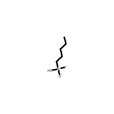 CCCCC[N+]([O-])(O)F